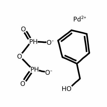 O=[PH]([O-])O[PH](=O)[O-].OCc1ccccc1.[Pd+2]